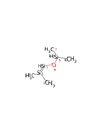 C[Si](C)=[SiH]O[SiH](C)C